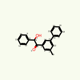 Cc1cc(C(=O)C(O)c2ccccc2)cc(-c2ccccc2)c1